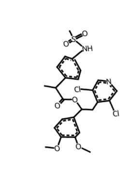 COc1ccc(C(Cc2c(Cl)cncc2Cl)OC(=O)C(C)c2ccc(NS(C)(=O)=O)cc2)cc1OC